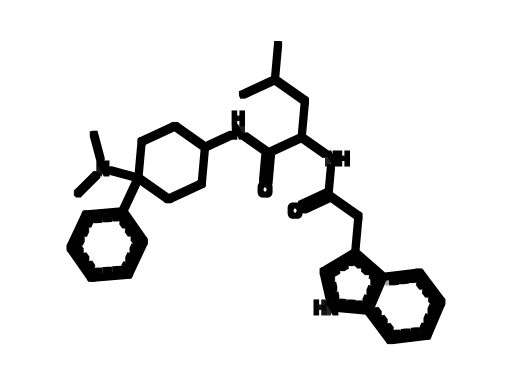 CC(C)CC(NC(=O)Cc1c[nH]c2ccccc12)C(=O)NC1CCC(c2ccccc2)(N(C)C)CC1